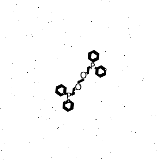 c1ccc(P(CCOCCOCCP(c2ccccc2)c2ccccc2)c2ccccc2)cc1